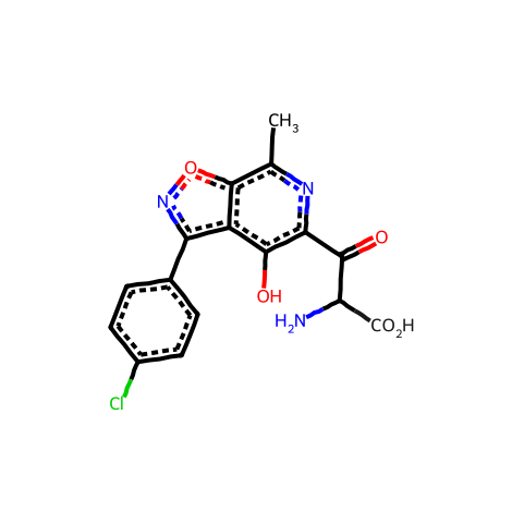 Cc1nc(C(=O)C(N)C(=O)O)c(O)c2c(-c3ccc(Cl)cc3)noc12